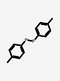 Cc1ccc([P][P]c2ccc(C)cc2)cc1